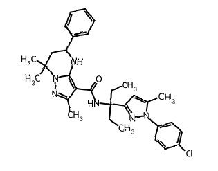 CCC(CC)(NC(=O)c1c(C)nn2c1NC(c1ccccc1)CC2(C)C)c1cc(C)n(-c2ccc(Cl)cc2)n1